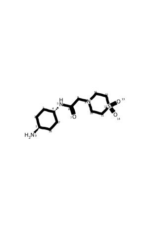 N[C@H]1CC[C@H](NC(=O)CN2CCS(=O)(=O)CC2)CC1